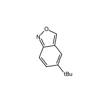 CC(C)(C)c1ccc2nocc2c1